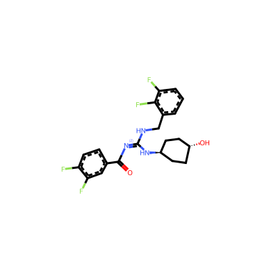 O=C(/N=C(/NCc1cccc(F)c1F)N[C@H]1CC[C@H](O)CC1)c1ccc(F)c(F)c1